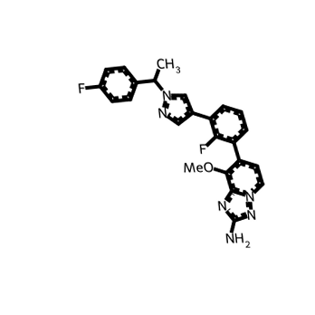 COc1c(-c2cccc(-c3cnn(C(C)c4ccc(F)cc4)c3)c2F)ccn2nc(N)nc12